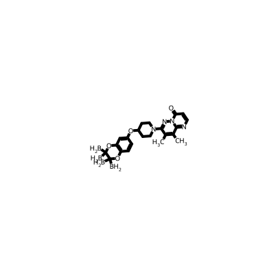 BC1(B)Oc2ccc(OC3CCN(c4nn5c(=O)ccnc5c(C)c4C)CC3)cc2OC1(B)B